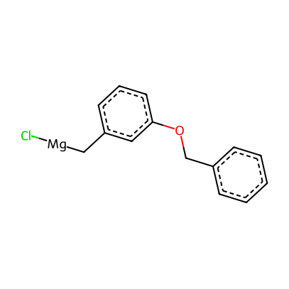 [Cl][Mg][CH2]c1cccc(OCc2ccccc2)c1